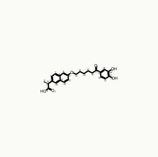 C[C@H](C(=O)O)c1ccc2cc(OCCCCCC(=O)c3ccc(O)c(O)c3)ccc2c1